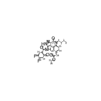 CCCCN(C(=O)c1cc(NC(=O)c2cc(F)c(F)cc2Cl)[nH]n1)c1ccc(CC(=O)OCC)cc1